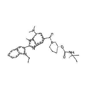 CCn1c(-c2nc3cc(C(=O)N4CCC[C@@H](OC(=O)NC(C)(C)C)C4)cc(N(C)C)c3n2C)cc2ccccc21